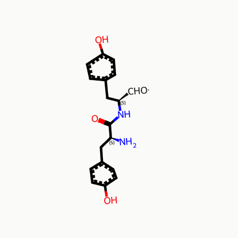 N[C@@H](Cc1ccc(O)cc1)C(=O)N[C@H]([C]=O)Cc1ccc(O)cc1